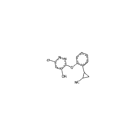 N#CC1CC1c1ccccc1Oc1nnc(Cl)cc1O